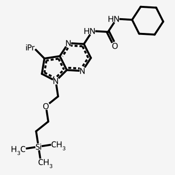 CC(C)c1cn(COCC[Si](C)(C)C)c2ncc(NC(=O)NC3CCCCC3)nc12